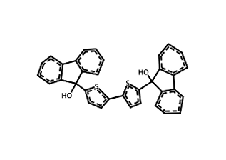 OC1(c2ccc(-c3ccc(C4(O)c5ccccc5-c5ccccc54)s3)s2)c2ccccc2-c2ccccc21